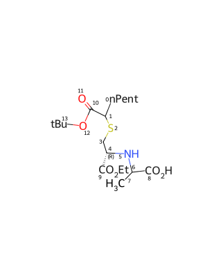 CCCCCC(SC[C@H](NC(C)C(=O)O)C(=O)OCC)C(=O)OC(C)(C)C